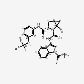 NC(=O)n1cc(NC(=O)N2[C@H](C(=O)Nc3cccc(OC(F)(F)F)c3)CC3C[C@@H]32)c2ccccc21